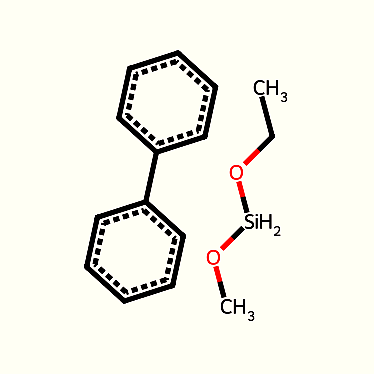 CCO[SiH2]OC.c1ccc(-c2ccccc2)cc1